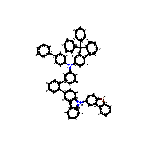 c1ccc(-c2ccc(N(c3cccc(-c4ccccc4-c4ccc5c(c4)c4ccccc4n5-c4ccc5sc6ccccc6c5c4)c3)c3ccc4c(c3)C(c3ccccc3)(c3ccccc3)c3ccccc3-4)cc2)cc1